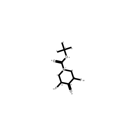 CC(C)(C)OC(=O)N1CC(F)C(=O)C(F)C1